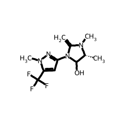 C=C1N(c2cc(C(F)(F)F)n(C)n2)C(O)[C@@H](C)N1C